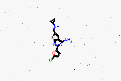 Nc1nc(-c2ccc(Cl)o2)nc2sc(CNC3CC3)cc12